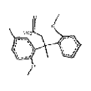 COc1ccccc1C(C)(CC(=O)O)c1cc(C)ccc1OC